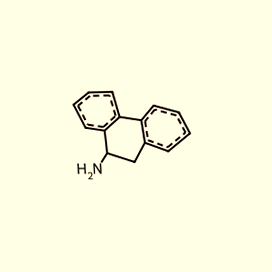 NC1Cc2ccccc2-c2ccccc21